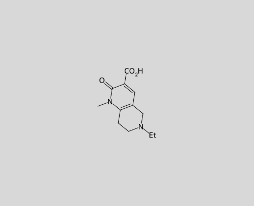 CCN1CCc2c(cc(C(=O)O)c(=O)n2C)C1